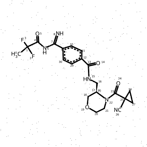 CC(F)(F)C(=O)NC(=N)c1ccc(C(=O)NC[C@@H]2COCCN2C(=O)C2(C#N)CC2)cc1